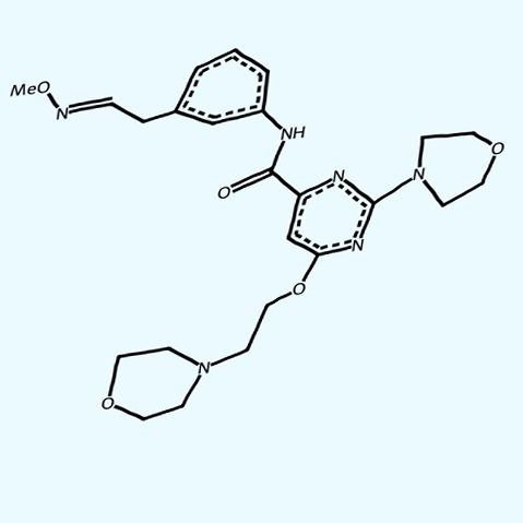 CO/N=C/Cc1cccc(NC(=O)c2cc(OCCN3CCOCC3)nc(N3CCOCC3)n2)c1